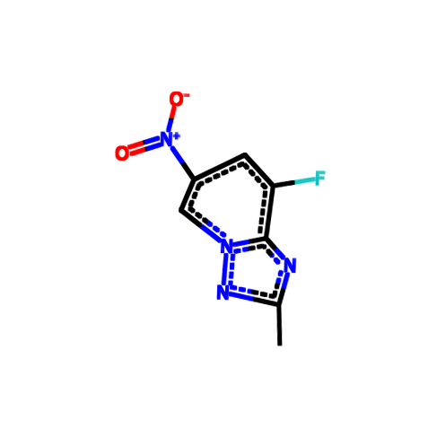 Cc1nc2c(F)cc([N+](=O)[O-])cn2n1